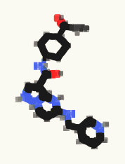 COC(=O)[C@H]1CC[C@H](NC(=O)c2cnn3ccc(NCc4cccnc4)nc23)CC1